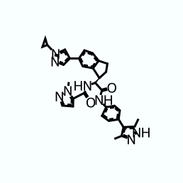 Cc1n[nH]c(C)c1-c1ccc(NC(=O)C(NC(=O)c2ccnn2C)[C@@H]2CCc3ccc(-c4cnn(C5CC5)c4)cc32)cc1